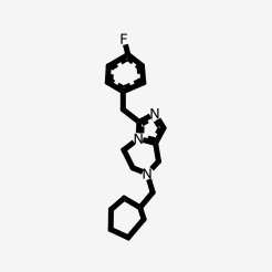 Fc1ccc(Cc2ncc3n2CCN(CC2CCCCC2)C3)cc1